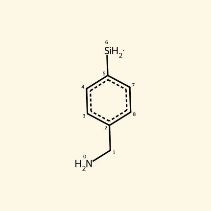 NCc1ccc([SiH2])cc1